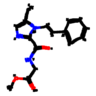 CCCc1cnc(C(=O)NCC(=O)OC(C)(C)C)n1CCc1ccccc1